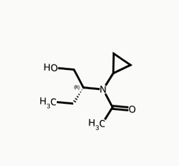 CC[C@H](CO)N(C(C)=O)C1CC1